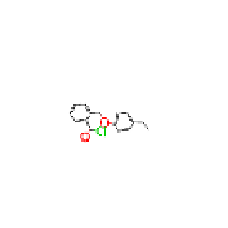 CCc1ccc(OCc2ccccc2C(=O)Cl)cc1